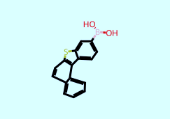 OB(O)c1ccc2c(c1)sc1ccc3ccccc3c12